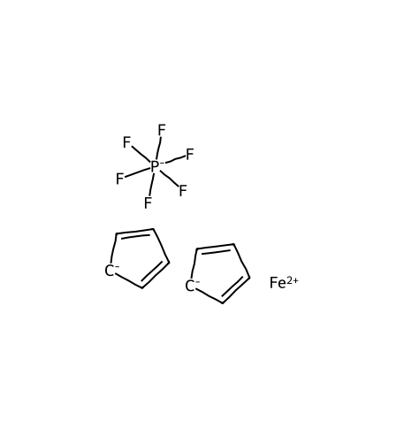 F[P-](F)(F)(F)(F)F.[Fe+2].c1cc[cH-]c1.c1cc[cH-]c1